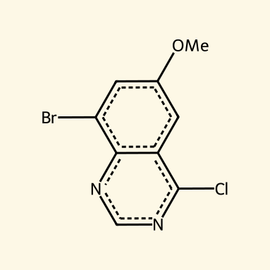 COc1cc(Br)c2ncnc(Cl)c2c1